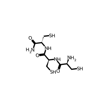 NC(=O)[C@H](CS)NC(=O)[C@H](CS)NC(=O)[C@@H](N)CS